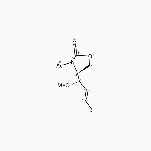 C/C=C/[C@H](OC)[C@@H]1COC(=O)N1C(C)=O